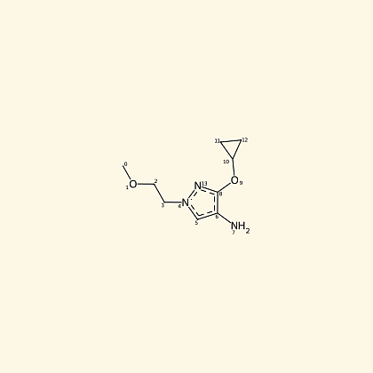 COCCn1cc(N)c(OC2CC2)n1